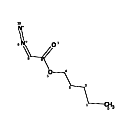 CCCCCOC(=O)C=[N+]=[N-]